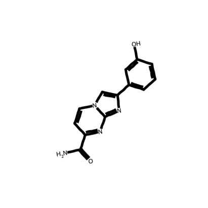 NC(=O)c1ccn2cc(-c3cccc(O)c3)nc2n1